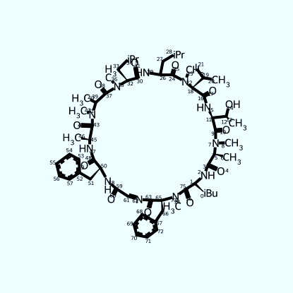 CC[C@H](C)C1NC(=O)[C@H](C)N(C)C(=O)[C@H]([C@@H](C)O)NC(=O)[C@H](C(C)I)N(C)C(=O)C(CC(C)C)NC(=O)[C@H](CC(C)C)N(C)C(=O)C(C)N(C)C(=O)[C@H](C)NC(=O)[C@H](Cc2ccccc2)NC(=O)/C=N\C(=O)[C@H](Cc2ccccc2)N(C)C1=O